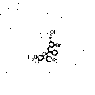 Cn1ccc([C@H]2CCNC[C@@H]2C(=O)C(Cc2cc(Br)cc(SCCO)c2)c2ccccc2)cc1=O